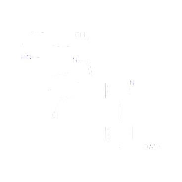 COc1cccc(-c2cncc(-c3cn(C(C)C4CCCNC4)c4ccc(Cl)cc34)c2)c1